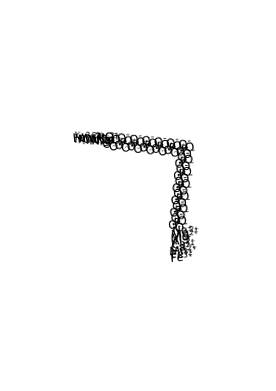 O=P([O-])([O-])[O-].O=P([O-])([O-])[O-].O=P([O-])([O-])[O-].O=P([O-])([O-])[O-].O=P([O-])([O-])[O-].O=P([O-])([O-])[O-].O=P([O-])([O-])[O-].O=P([O-])([O-])[O-].O=P([O-])([O-])[O-].O=P([O-])([O-])[O-].O=P([O-])([O-])[O-].O=P([O-])([O-])[O-].O=P([O-])([O-])[O-].[Al+3].[Al+3].[Al+3].[Ca+2].[Ca+2].[Ca+2].[Fe+3].[Fe+3].[Fe+3].[Mg+2].[Mg+2].[Mg+2].[Mn+2].[Mn+2].[Mn+2].[Na+].[Na+].[Na+]